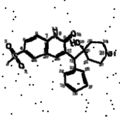 CS(=O)(=O)c1ccc2[nH]c(=O)c(C(c3ccccc3)C3(O)CCNCC3)cc2c1